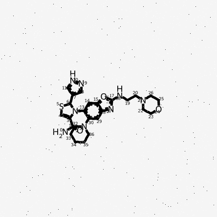 NC(=O)C1=CSC(c2cn[nH]c2)N1c1cc2oc(NCCN3CCOCC3)nc2cc1N1CCCCC1